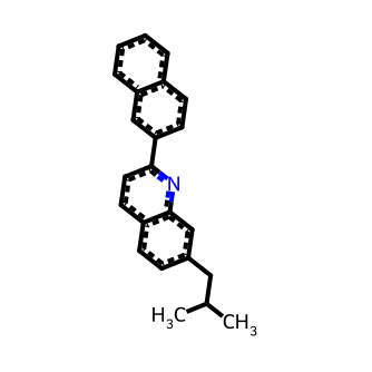 CC(C)Cc1ccc2ccc(-c3ccc4ccccc4c3)nc2c1